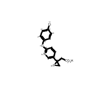 O=C(O)CC1(c2ccc(Oc3ccc(Cl)cc3)nc2)CO1